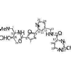 CNC[C@@H](NC(=O)c1ccc(-c2cc(CNC(=O)c3ccnc(C(F)(F)F)n3)ccn2)o1)C(C)C=O